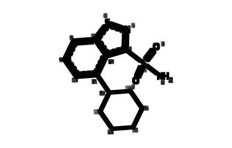 NS(=O)(=O)c1nsc2cccc(C3CCCCC3)c12